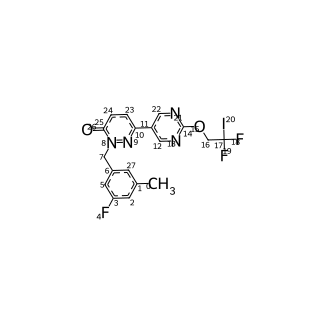 Cc1cc(F)cc(Cn2nc(-c3cnc(OCC(F)(F)I)nc3)ccc2=O)c1